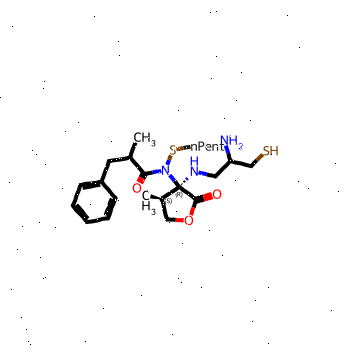 CCCCCSN(C(=O)C(C)Cc1ccccc1)[C@@]1(NCC(N)CS)C(=O)OC[C@H]1C